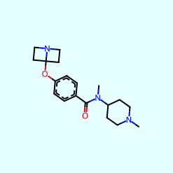 CN1CCC(N(C)C(=O)c2ccc(OC34CCN3CC4)cc2)CC1